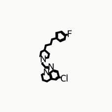 Fc1ccc(CCCC2CCN(Cc3nc4cc(Cl)cc5c4n3CCC5)CC2)cc1